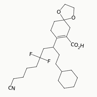 N#CCCCCC(F)(F)CC(CCC1CCCCC1)C1=C(C(=O)O)CC2(CC1)OCCO2